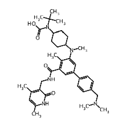 Cc1cc(C)c(CNC(=O)c2cc(-c3ccc(CN(C)C)cc3)cc(N(C)C3CCC(N(C(=O)O)C(C)(C)C)CC3)c2C)c(=O)[nH]1